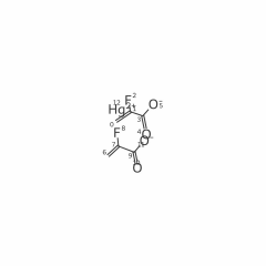 C=C(F)C(=O)[O-].C=C(F)C(=O)[O-].[Hg+2]